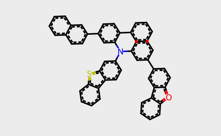 c1ccc(-c2ccc(-c3ccc4ccccc4c3)cc2N(c2cccc(-c3ccc4oc5ccccc5c4c3)c2)c2ccc3c(c2)sc2ccccc23)cc1